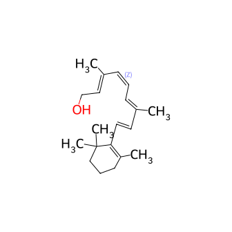 CC(C=CC1=C(C)CCCC1(C)C)=C/C=C\C(C)=CCO